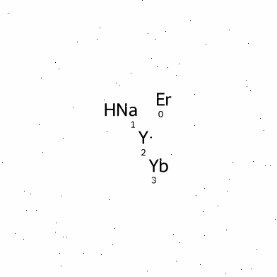 [Er].[NaH].[Y].[Yb]